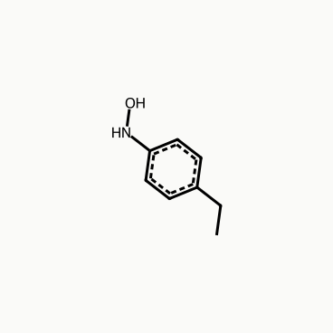 CCc1ccc(NO)cc1